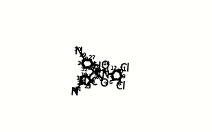 C[C@]12C(=O)N(c3cc(Cl)cc(Cl)c3)C(=O)[C@H]1C2(c1ccc(C#N)cc1)c1ccc(C#N)cc1